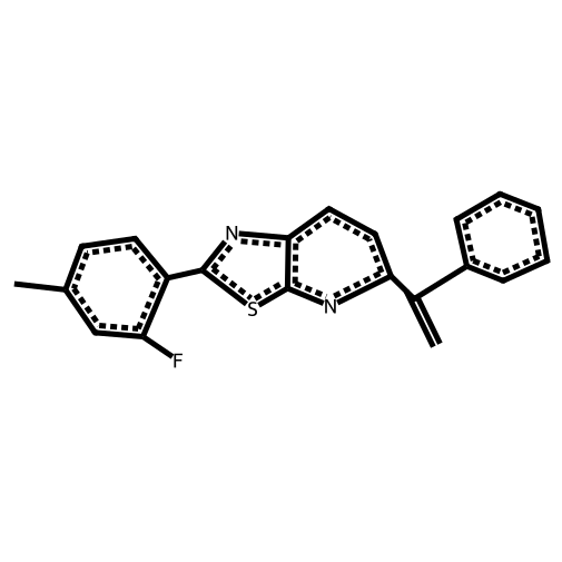 C=C(c1ccccc1)c1ccc2nc(-c3ccc(C)cc3F)sc2n1